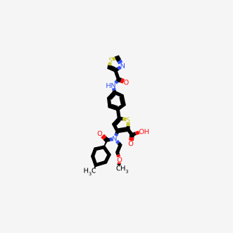 COCCN(c1cc(-c2ccc(NC(=O)c3cscn3)cc2)sc1C(=O)O)C(=O)[C@H]1CC[C@H](C)CC1